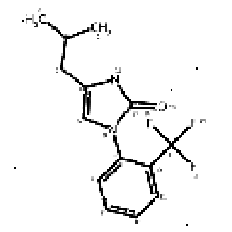 CC(C)CC1=CN(c2ccccc2C(F)(F)F)C(=O)[N]1